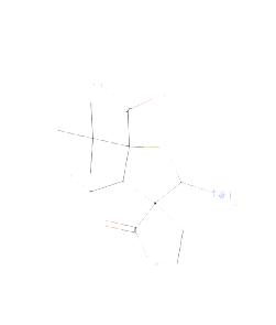 CCC1C(CC)(C(=O)O)C(N)SC1(C(=O)O)C(C)(C)C